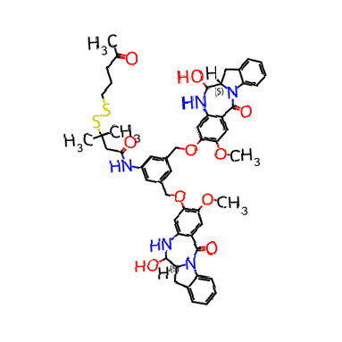 COc1cc2c(cc1OCc1cc(COc3cc4c(cc3OC)C(=O)N3c5ccccc5C[C@H]3C(O)N4)cc(NC(=O)CC(C)(C)SSCCCC(C)=O)c1)NC(O)[C@@H]1Cc3ccccc3N1C2=O